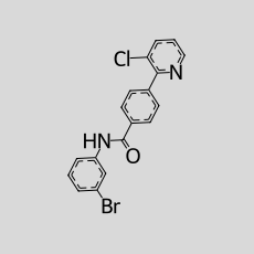 O=C(Nc1cccc(Br)c1)c1ccc(-c2ncccc2Cl)cc1